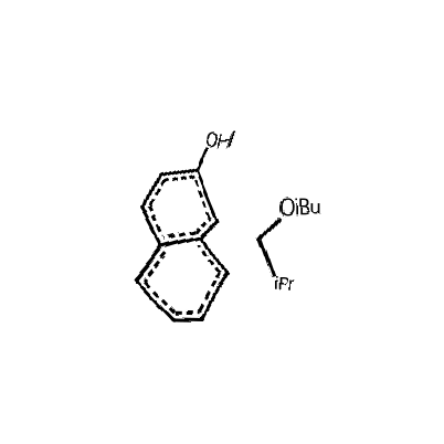 CC(C)COCC(C)C.Oc1ccc2ccccc2c1